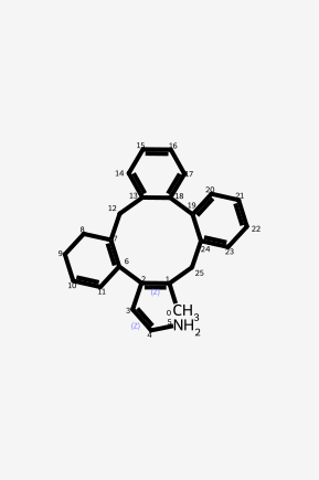 C/C1=C(\C=C/N)C2=C(CCC=C2)Cc2ccccc2-c2ccccc2C1